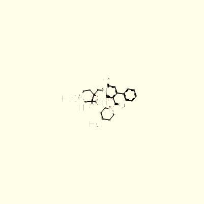 CN1CCC(O)(Cn2cc(C(=O)N3CCC(O)CC3)c(-c3ccccc3)cc2=O)C(C)(C)C1